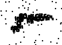 CCC(C)(C)c1ccc(OCCCNC(=O)Nc2cccc(S(=O)(=O)Nc3ccc(NNC(=O)C(F)F)cc3)c2)c(C(C)(C)CC)c1